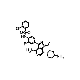 CCn1nc(-c2ccc(NS(=O)(=O)c3ccccc3Cl)c(F)c2)c2c(N)ncc([C@H]3CC[C@H](N)CC3)c21